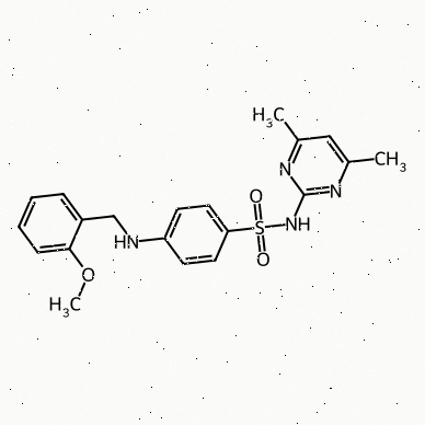 COc1ccccc1CNc1ccc(S(=O)(=O)Nc2nc(C)cc(C)n2)cc1